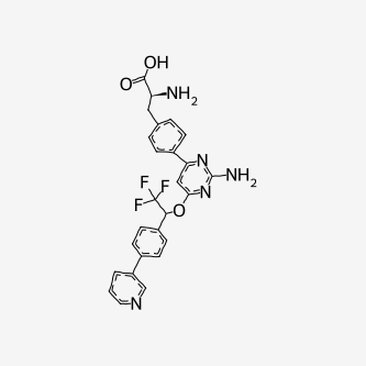 Nc1nc(OC(c2ccc(-c3cccnc3)cc2)C(F)(F)F)cc(-c2ccc(C[C@H](N)C(=O)O)cc2)n1